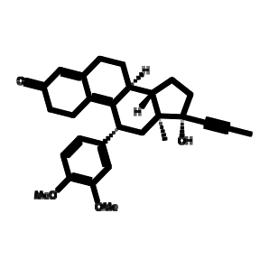 CC#C[C@]1(O)CC[C@H]2[C@@H]3CCC4=CC(=O)CCC4=C3[C@@H](c3ccc(OC)c(OC)c3)C[C@@]21C